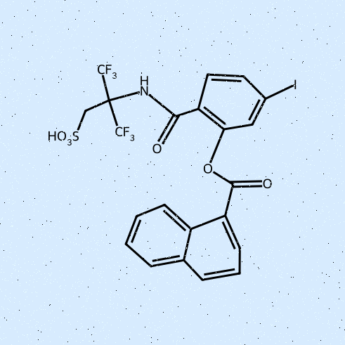 O=C(NC(CS(=O)(=O)O)(C(F)(F)F)C(F)(F)F)c1ccc(I)cc1OC(=O)c1cccc2ccccc12